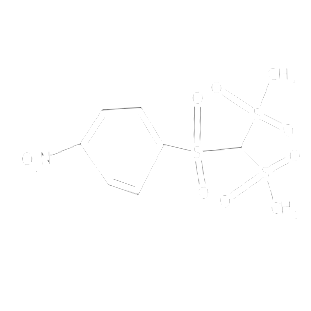 CS(=O)(=O)C(S(C)(=O)=O)S(=O)(=O)c1ccc([N+](=O)[O-])cc1